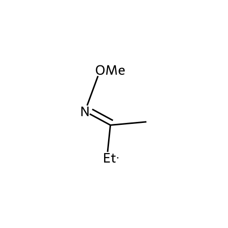 C[CH]C(C)=NOC